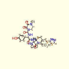 CCN1CCN(C(=O)NC(C(=O)N[C@]2(NC=O)C(=O)N3C(C(=O)O)=C(CSc4nncs4)CS[C@H]32)c2ccc(O)cc2)C(=O)C1=O